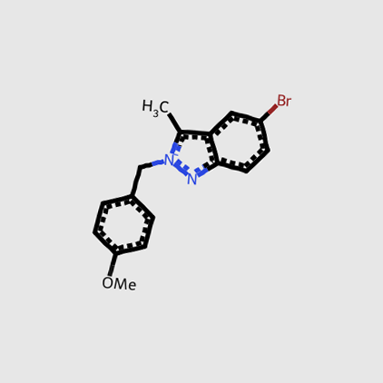 COc1ccc(Cn2nc3ccc(Br)cc3c2C)cc1